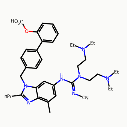 CCCc1nc2c(C)cc(NC(=NC#N)N(CCN(CC)CC)CCN(CC)CC)cc2n1Cc1ccc(-c2ccccc2OC(=O)O)cc1